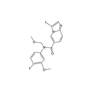 COCN(C(=O)c1ccc2ncc(I)n2c1)c1ccc(F)c(OC)c1